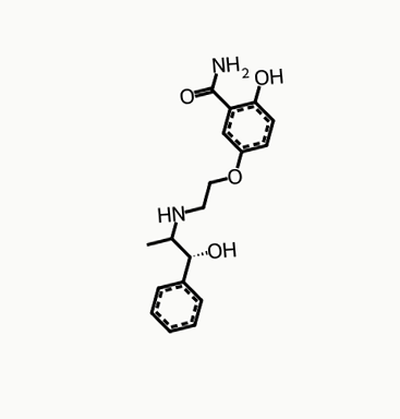 CC(NCCOc1ccc(O)c(C(N)=O)c1)[C@H](O)c1ccccc1